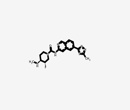 CN[C@H]1CCN(C(=O)Nc2cc3cc(-c4nnc(C)s4)ccc3cn2)C[C@@H]1F